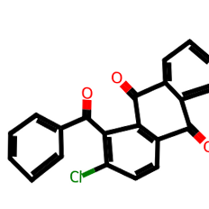 O=C1c2ccccc2C(=O)c2c1ccc(Cl)c2C(=O)c1ccccc1